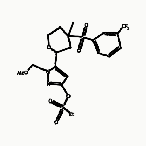 CCS(=O)(=O)Oc1cc(C2CC(C)(S(=O)(=O)c3cccc(C(F)(F)F)c3)CCO2)n(COC)n1